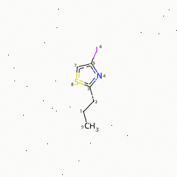 CCCc1nc(I)cs1